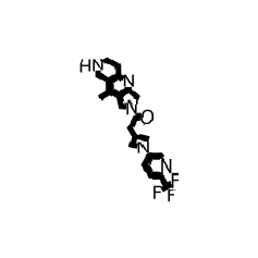 Cc1c2c(nc3c1CN(C(=O)CC1CN(c4ccc(C(F)(F)F)nc4)C1)C3)CCNC2